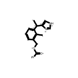 Cc1c(COC(=O)C(C)C)cccc1C(C)c1c[nH]cn1